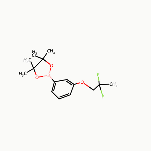 CC(F)(F)COc1cccc(B2OC(C)(C)C(C)(C)O2)c1